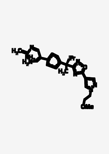 C=C(N)/N=C\C(=C/N)c1ccc([C@@](C)(c2noc(-c3cnn(CCOC)c3)n2)C(C)C)cc1